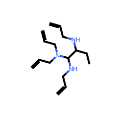 C=CCNC(CC)C(NCC=C)N(CC=C)CC=C